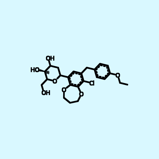 CCOc1ccc(Cc2cc(C3CC(O)[C@H](O)C(CO)O3)c3c(c2Cl)OCCCO3)cc1